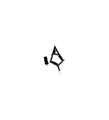 C#C.Fc1cc2cc-2c1